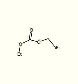 CCOC(=O)OCC(C)C